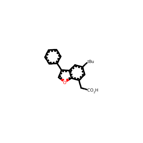 CC(C)(C)c1cc(CC(=O)O)c2occ(-c3ccccc3)c2c1